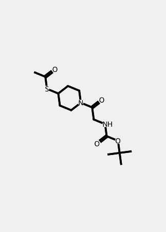 CC(=O)SC1CCN(C(=O)CNC(=O)OC(C)(C)C)CC1